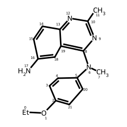 CCOc1ccc(N(C)c2nc(C)nc3ccc(N)cc23)cc1